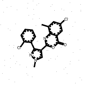 Cc1cc(Cl)cc2c(=O)oc(-c3cn(C)nc3-c3ccccc3Cl)nc12